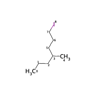 CCCC(C)CCCI